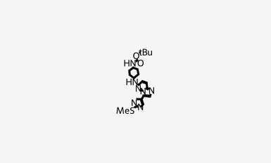 CSc1ncc(-c2cnc3ccc(N[C@H]4CC[C@H](NC(=O)OC(C)(C)C)CC4)nn23)cn1